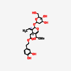 C/C=C1/C(OC2CC(O)[C@@H](O)C(CO)O2)OC=C(C(=O)OC)[C@H]1CC(=O)OCCc1ccc(O)c(O)c1